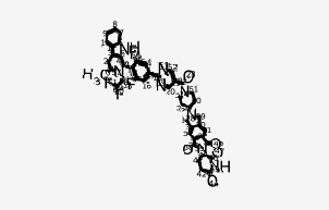 C[C@@H]1Cc2c([nH]c3ccccc23)[C@@H](c2c(F)cc(-c3ncc(C(=O)N4CCC(N5Cc6cc7c(cc6C5)C(=O)N(C5CCC(=O)NC5=O)C7=O)CC4)cn3)cc2F)N1CC(F)F